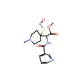 COC(=O)C(NC(=O)c1cccnc1)C1(SN=O)CCN(C)CC1